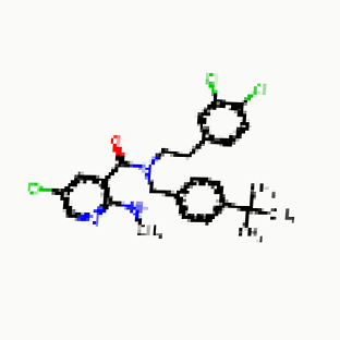 CNc1ncc(Cl)cc1C(=O)N(CCc1ccc(Cl)c(Cl)c1)Cc1ccc(C(C)(C)C)cc1